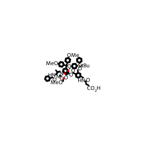 COCCO[C@H]1[C@@H](OC(=O)c2ccc(CNC(=O)CCC(=O)O)cc2CO[Si](c2ccccc2)(c2ccccc2)C(C)(C)C)[C@@H](COC(c2ccccc2)(c2ccc(OC)cc2)c2ccc(OC)cc2)O[C@H]1n1cc(C)c(NC(=O)c2ccccc2)nc1=O